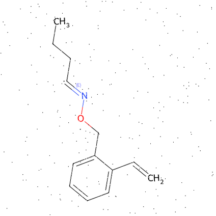 C=Cc1ccccc1CO/N=[C]/CCC